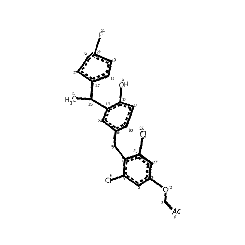 CC(=O)COc1cc(Cl)c(Cc2ccc(O)c(C(C)c3ccc(F)cc3)c2)c(Cl)c1